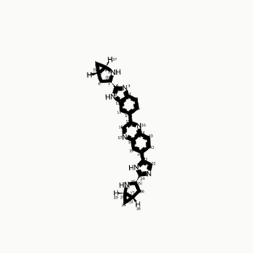 c1cc2nc([C@@H]3C[C@@H]4C[C@H]4N3)[nH]c2cc1-c1cnc2cc(-c3cnc([C@@H]4C[C@@H]5C[C@H]5N4)[nH]3)ccc2n1